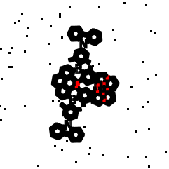 Cc1cc(-n2c3ccccc3c3ccccc32)cc(C)c1B(c1c(C)cc(-n2c3ccccc3c3ccccc32)cc1C)c1ccc2ccc3ccc(B(c4c(C)cc(-n5c6ccccc6c6ccccc65)cc4C)c4c(C)cc(-n5c6ccccc6c6ccccc65)cc4C)c4ccc1c2c34